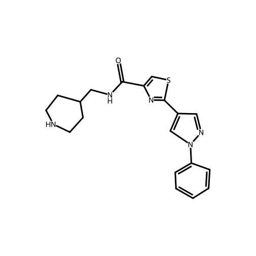 O=C(NCC1CCNCC1)c1csc(-c2cnn(-c3ccccc3)c2)n1